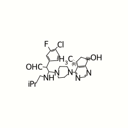 CC(C)CNC(C(C=O)c1ccc(Cl)c(F)c1)N1CCN(c2ncnc3c2[C@H](C)C[C@H]3O)CC1